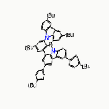 CC(C)(C)c1ccc(-c2ccc3c(c2)c2cc(-c4ccc(C(C)(C)C)cc4)cc4c2n3B2c3c-4cc(C(C)(C)C)cc3-n3c4ccc(C(C)(C)C)cc4c4cc(C(C)(C)C)cc2c43)cc1